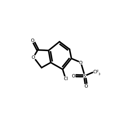 O=C1OCc2c1ccc(OS(=O)(=O)C(F)(F)F)c2Cl